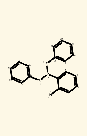 Nc1ccccc1P(Sc1ccccc1)Sc1ccccc1